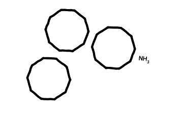 C1CCCCCCCCC1.C1CCCCCCCCC1.C1CCCCCCCCC1.N